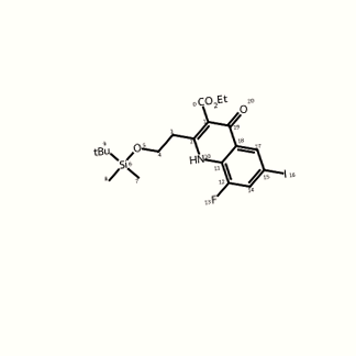 CCOC(=O)c1c(CCO[Si](C)(C)C(C)(C)C)[nH]c2c(F)cc(I)cc2c1=O